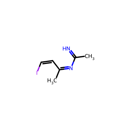 CC(=N)/N=C(C)\C=C/I